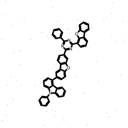 c1ccc(-c2nc(-c3ccc4c(c3)oc3ccc(-c5cccc6c5c5ccccc5n6-c5ccccc5)cc34)nc(-c3cccc4c3oc3ccccc34)n2)cc1